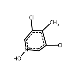 Cc1c(Cl)c[n+](O)cc1Cl